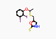 CC(Oc1cccc(I)c1I)SCc1c[nH]c(=S)o1